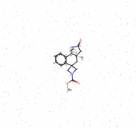 CC(C)(C)OC(=O)N1CC2(C[C@@H]3CC(=O)N4CCO[C@@]34c3ccccc32)C1